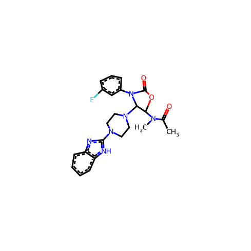 CC(=O)N(C)C1OC(=O)N(c2cccc(F)c2)C1N1CCN(c2nc3ccccc3[nH]2)CC1